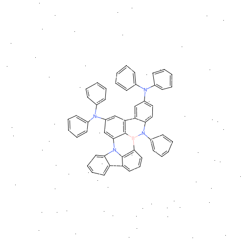 c1ccc(N2B3c4c(cc(N(c5ccccc5)c5ccccc5)cc4-n4c5ccccc5c5cccc3c54)-c3cc(N(c4ccccc4)c4ccccc4)ccc32)cc1